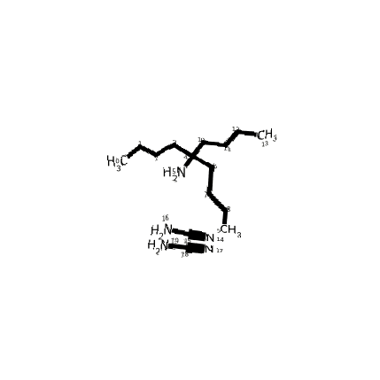 CCCCC(N)(CCCC)CCCC.N#CN.N#CN